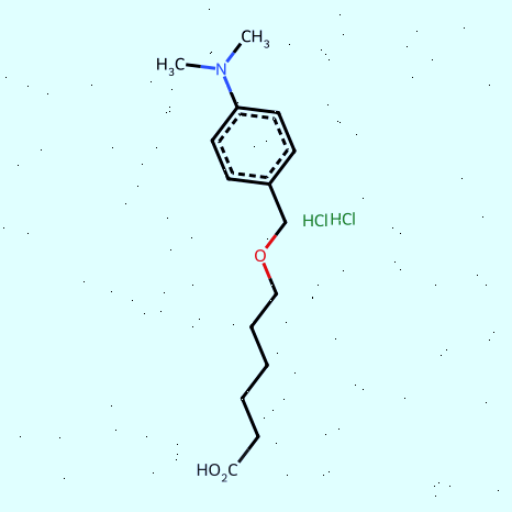 CN(C)c1ccc(COCCCCCC(=O)O)cc1.Cl.Cl